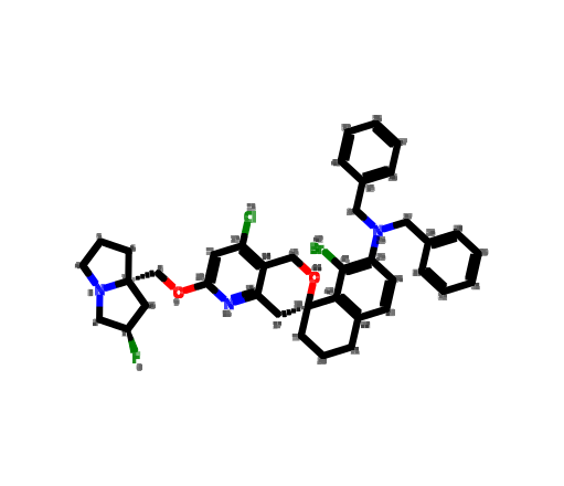 F[C@H]1CN2CCC[C@@]2(COc2cc(Cl)c3c(n2)C[C@]2(CCCc4ccc(N(Cc5ccccc5)Cc5ccccc5)c(Br)c42)OC3)C1